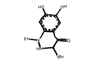 CCN1NC(C(C)(C)C)C(=O)c2cc(O)c(O)cc21